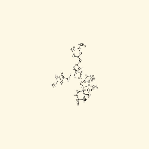 CC(C)OC(=O)OCOP(=O)(OCOC(=O)OC(C)C)OC[C@@]1(CF)O[C@@H](n2ccc(=O)[nH]c2=O)[C@](C)(O)[C@@H]1O